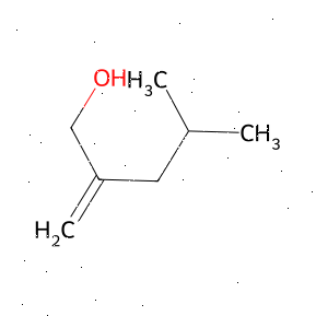 C=C(CO)CC(C)C